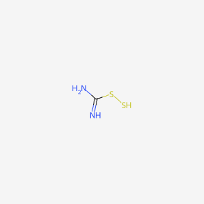 N=C(N)SS